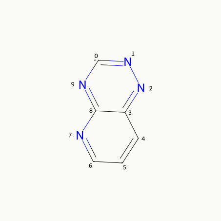 [c]1nnc2cccnc2n1